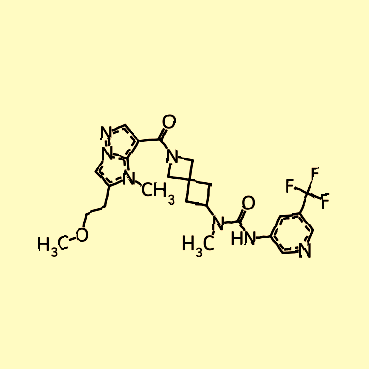 COCCc1cn2ncc(C(=O)N3CC4(CC(N(C)C(=O)Nc5cncc(C(F)(F)F)c5)C4)C3)c2n1C